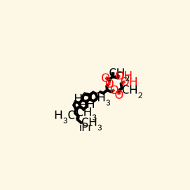 C=C(CO)C(=O)OCC(CC[C@H]1CC[C@@]2(C)C(=CC[C@@H]3[C@@H]2CC[C@]2(C)C([C@H](C)/C=C/[C@H](C)C(C)C)CC[C@@H]32)C1)COC(=O)C(=C)CO